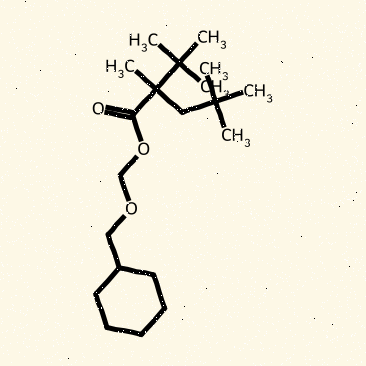 CC(C)(C)CC(C)(C(=O)OCOCC1CCCCC1)C(C)(C)C